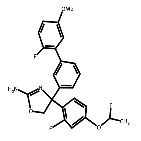 COc1ccc(F)c(-c2cccc(C3(c4ccc(OC(C)F)cc4F)COC(N)=N3)c2)c1